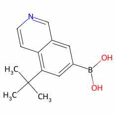 CC(C)(C)c1cc(B(O)O)cc2cnccc12